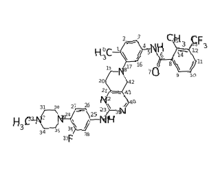 Cc1ccc(NC(=O)c2cccc(C(F)(F)F)c2C)cc1N1CCc2nc(Nc3ccc(N4CCN(C)CC4)c(F)c3)ncc2C1